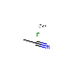 CC#N.[Cs+].[F-]